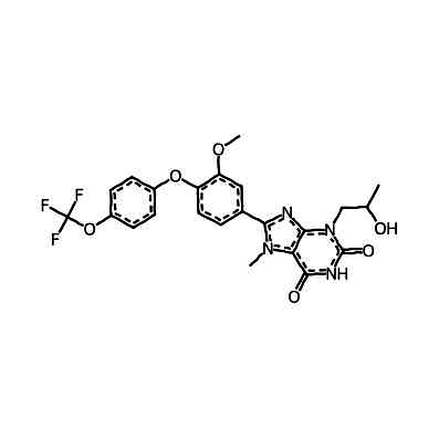 COc1cc(-c2nc3c(c(=O)[nH]c(=O)n3CC(C)O)n2C)ccc1Oc1ccc(OC(F)(F)F)cc1